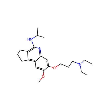 CCN(CC)CCCOc1cc2nc(NC(C)C)c3c(c2cc1OC)CCC3